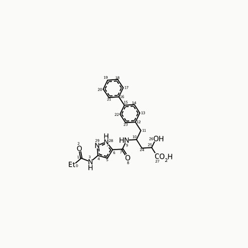 CCC(=O)Nc1cc(C(=O)NC(Cc2ccc(-c3ccccc3)cc2)CC(O)C(=O)O)[nH]n1